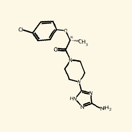 C[C@@H](Oc1ccc(Cl)cc1)C(=O)N1CCN(c2nc(N)n[nH]2)CC1